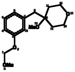 COCOc1cccc(CC2(OC)CCOCC2)c1